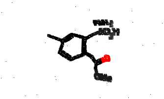 COC(=O)c1ccc(C)cc1S(=O)(=O)O.[PbH2]